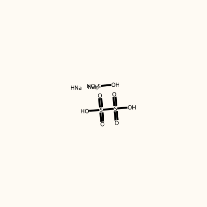 O=S(=O)(O)O.O=S(=O)(O)S(=O)(=O)O.[NaH].[NaH]